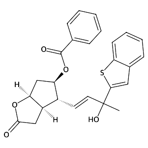 CC(O)(C=C[C@@H]1[C@H]2CC(=O)O[C@H]2C[C@H]1OC(=O)c1ccccc1)c1cc2ccccc2s1